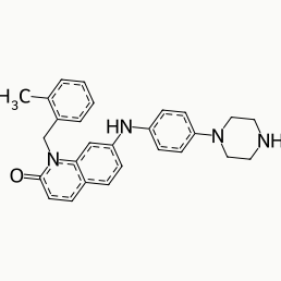 Cc1ccccc1Cn1c(=O)ccc2ccc(Nc3ccc(N4CCNCC4)cc3)cc21